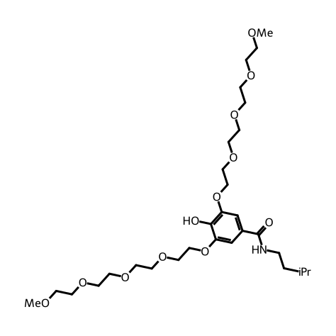 COCCOCCOCCOCCOc1cc(C(=O)NCCC(C)C)cc(OCCOCCOCCOCCOC)c1O